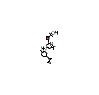 CC(C)(O)C12CC(C1)N(c1cc(-n3ncc4ccc(C5CC56CC6)cc43)cc(F)n1)C2